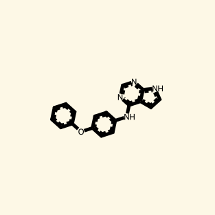 c1ccc(Oc2ccc(Nc3ncnc4[nH]ccc34)cc2)cc1